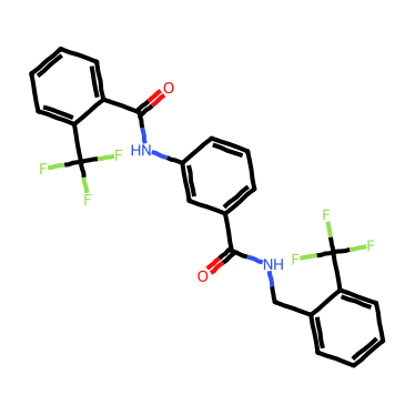 O=C(NCc1ccccc1C(F)(F)F)c1cccc(NC(=O)c2ccccc2C(F)(F)F)c1